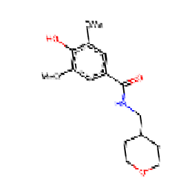 COc1cc(C(=O)NCC2CCOCC2)cc(OC)c1O